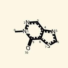 Cn1ncc2n[c]sc2c1=O